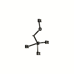 CCO[CH][Si](CC)(CC)CC